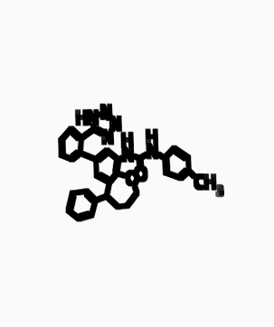 Cc1ccc(NC(=O)Nc2cc(-c3ccccc3-c3nnn[nH]3)cc3c2OCCCC3c2ccccc2)cc1